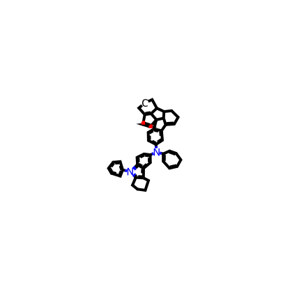 C1=CCC=CC(N(c2ccc3c(c2)C2=CCCC4C5CCCC6=C5C3(C3=C6C=CCC3)C24)c2ccc3c(c2)c2c(n3-c3ccccc3)CCCC2)=C1